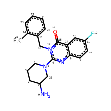 NC1CCCN(c2nc3ccc(F)cc3c(=O)n2Cc2ccccc2C(F)(F)F)C1